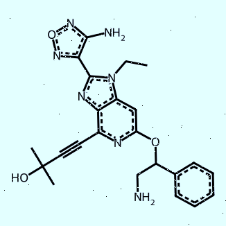 CCn1c(-c2nonc2N)nc2c(C#CC(C)(C)O)nc(OC(CN)c3ccccc3)cc21